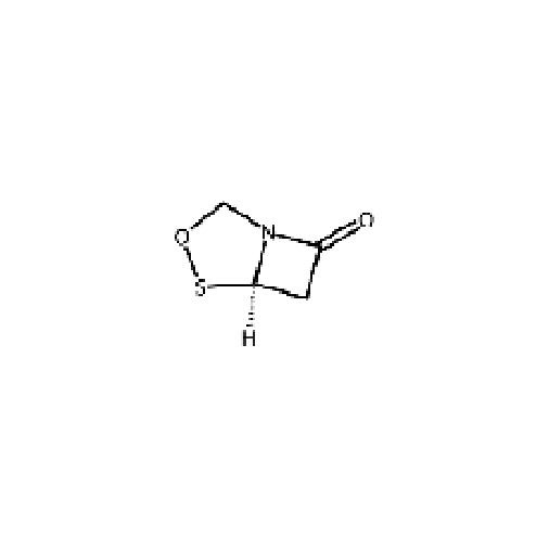 O=C1C[C@H]2SOCN12